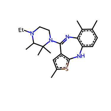 CCN1CCN(C2=Nc3c(ccc(C)c3C)Nc3sc(C)cc32)C(C)(C)C1C